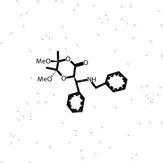 CO[C@@]1(C)OC(=O)[C@@H](C(NCc2ccccc2)c2ccccc2)O[C@]1(C)OC